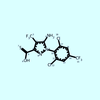 Nc1c(C(F)(F)F)c(C(O)=S)nn1-c1c(Cl)cc(C(F)(F)F)cc1Cl